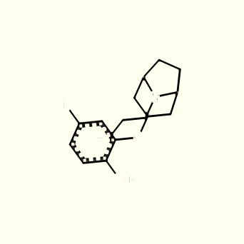 O=Cc1ccc(F)cc1OC1CC2CCC(C1)N2CCO